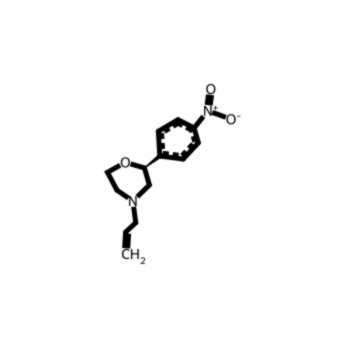 C=CCN1CCO[C@@H](c2ccc([N+](=O)[O-])cc2)C1